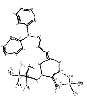 CC(C)(C[C@@H]1C/C(=C\COP(c2ccccc2)c2ccccc2)C[C@H](O[Si](C)(C)C(C)(C)C)C1=O)[Si](C)(C)O